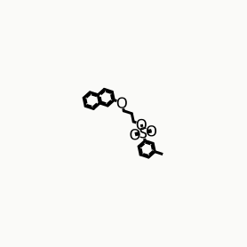 Cc1cccc(S(=O)(=O)OCCCOc2ccc3ccccc3c2)c1